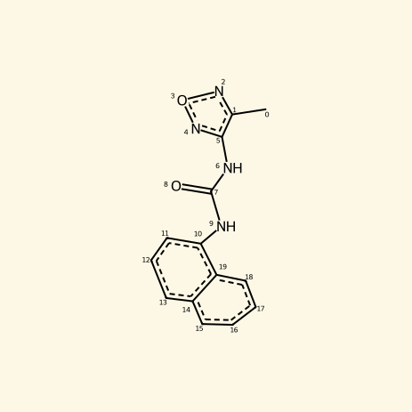 Cc1nonc1NC(=O)Nc1cccc2ccccc12